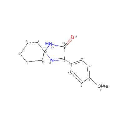 COc1ccc(C2=NC3(CCCCC3)NC2=O)cc1